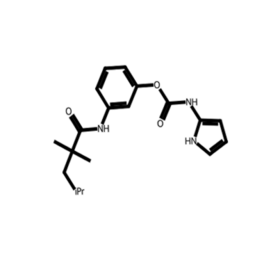 CC(C)CC(C)(C)C(=O)Nc1cccc(OC(=O)Nc2ccc[nH]2)c1